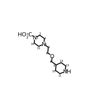 O=C(O)N1CCN(CCOCC2CCNCC2)CC1